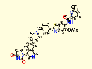 COc1cc2nc([C@H]3CC[C@H](CN4CCC(c5ccc6c(N7CCC(=O)NC7=O)cncc6c5)CC4)CC3)sc2cc1NC(=O)c1cccc(C(F)(F)F)n1